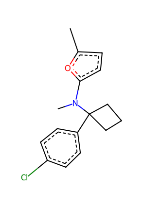 Cc1ccc(N(C)C2(c3ccc(Cl)cc3)CCC2)o1